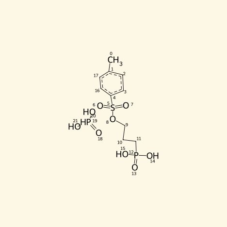 Cc1ccc(S(=O)(=O)OCCCP(=O)(O)O)cc1.O=[PH](O)O